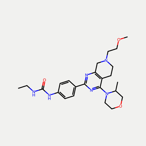 CCNC(=O)Nc1ccc(-c2nc3c(c(N4CCOCC4C)n2)CCN(CCOC)C3)cc1